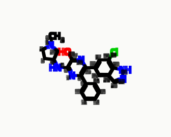 CN1CCC(Nc2nc(-c3ccccc3)c(-c3cc(Cl)c4[nH]ncc4c3)nc2O)C1